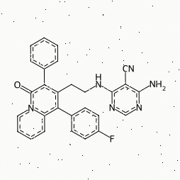 N#Cc1c(N)ncnc1NCCc1c(-c2ccccc2)c(=O)n2ccccc2c1-c1ccc(F)cc1